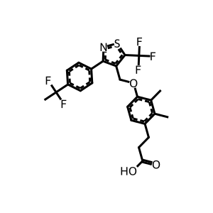 Cc1c(CCC(=O)O)ccc(OCc2c(-c3ccc(C(C)(F)F)cc3)nsc2C(F)(F)F)c1C